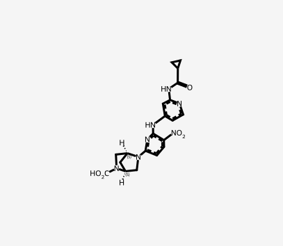 O=C(Nc1cc(Nc2nc(N3C[C@@H]4C[C@H]3CN4C(=O)O)ccc2[N+](=O)[O-])ccn1)C1CC1